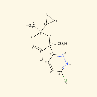 CC1=CCC(C(=O)O)(C2CC2)CC1(C(=O)O)c1ccc(Cl)nn1